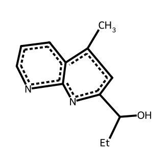 CCC(O)c1cc(C)c2cccnc2n1